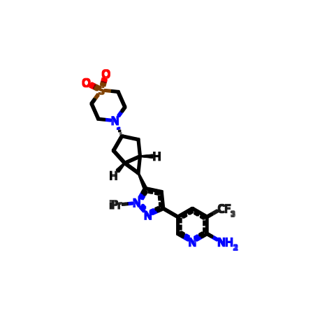 CC(C)n1nc(-c2cnc(N)c(C(F)(F)F)c2)cc1[C@H]1[C@@H]2C[C@H](N3CCS(=O)(=O)CC3)C[C@@H]21